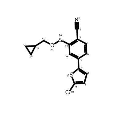 N#Cc1ccc(-c2ccc(Cl)s2)cc1SOCC1CC1